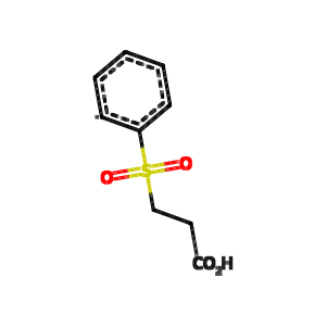 O=C(O)CCS(=O)(=O)c1[c]cccc1